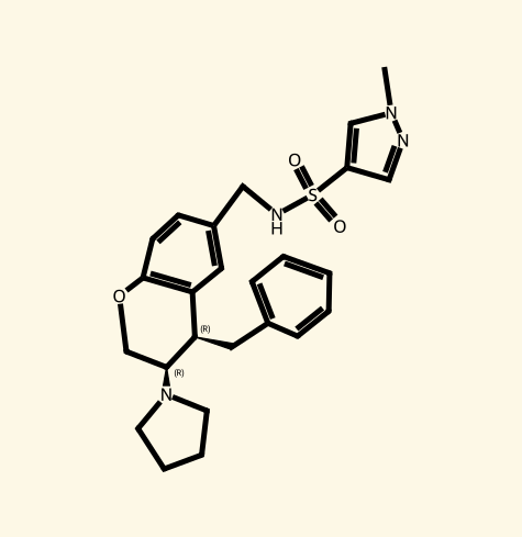 Cn1cc(S(=O)(=O)NCc2ccc3c(c2)[C@@H](Cc2ccccc2)[C@@H](N2CCCC2)CO3)cn1